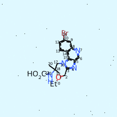 CCOCc1nc2cnc3cc(Br)ccc3c2n1CC(C)(C)NC(=O)O